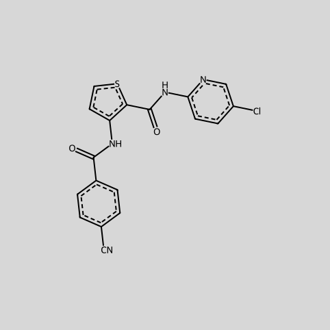 N#Cc1ccc(C(=O)Nc2ccsc2C(=O)Nc2ccc(Cl)cn2)cc1